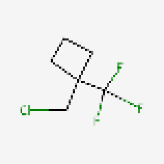 FC(F)(F)C1(CCl)CCC1